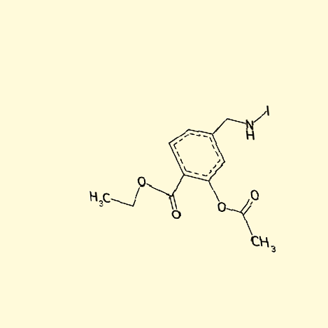 CCOC(=O)c1ccc(CNI)cc1OC(C)=O